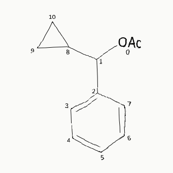 CC(=O)OC(c1ccccc1)C1CC1